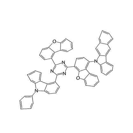 c1ccc(-n2c3ccccc3c3c(-c4nc(-c5ccc(-n6c7ccccc7c7cc8ccccc8cc76)c6c5oc5ccccc56)nc(-c5cccc6oc7ccccc7c56)n4)cccc32)cc1